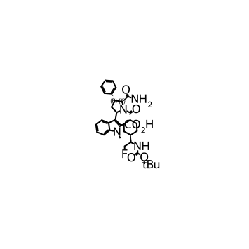 Cn1c(C(=O)O)c(C2C[C@H](c3ccccc3)[C@@H](C(N)=O)N2C(=O)[C@H]2CC[C@H](C(CF)NC(=O)OC(C)(C)C)CC2)c2ccccc21